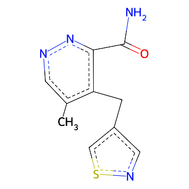 Cc1cnnc(C(N)=O)c1Cc1cnsc1